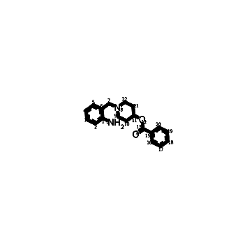 Nc1ccccc1CN1CCC(OC(=O)c2ccccc2)CC1